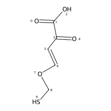 O=C(O)C(=O)C=COCS